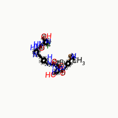 Cc1ncsc1-c1ccc(CNC(=O)[C@@H]2C[C@@H](O)CN2C(=O)[C@@H](NC(=O)CNCc2ccc(C#Cc3cc(NC(=O)Nc4cc(F)ncc4CO)ccn3)cc2)C(C)(C)C)cc1